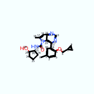 Cc1ccc(OCC2CC2)c(-c2ncnc3cc(C)n(C(=O)N[C@@H]4CCC[C@H]4O)c23)c1